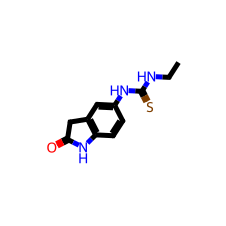 CCNC(=S)Nc1ccc2c(c1)CC(=O)N2